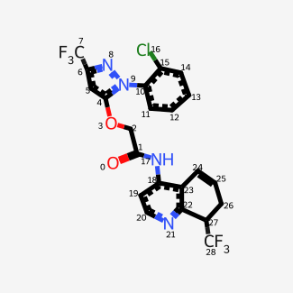 O=C(COc1cc(C(F)(F)F)nn1-c1ccccc1Cl)Nc1ccnc2c1C=CCC2C(F)(F)F